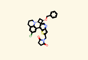 O=C1CCC(=O)N1Cc1cc2nccc(-c3cc(Cl)cc4c3N([C@H]3C[C@@H](OCc5ccccc5)C3)CCC4)c2s1